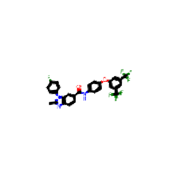 Cc1nc2ccc(C(=O)Nc3ccc(Oc4cc(C(F)(F)F)cc(C(F)(F)F)c4)cc3)cc2n1-c1ccc(F)cc1